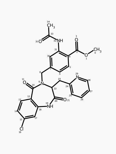 COC(=O)c1ccc(CN2C(=O)c3ccc(Cl)cc3NC(=O)C2Cc2ccccn2)cc1NC(C)=O